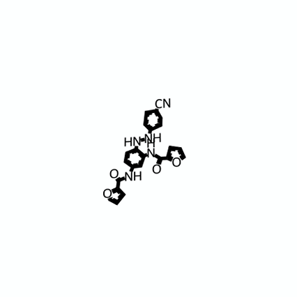 N#Cc1ccc(NNc2ccc(NC(=O)c3ccco3)cc2NC(=O)c2ccco2)cc1